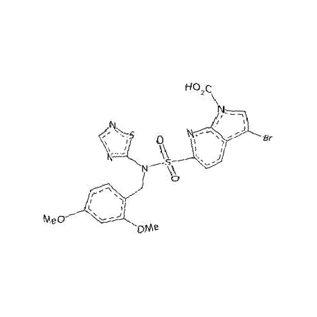 COc1ccc(CN(c2ncns2)S(=O)(=O)c2ccc3c(Br)cn(C(=O)O)c3n2)c(OC)c1